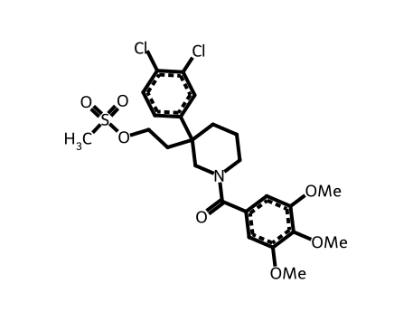 COc1cc(C(=O)N2CCCC(CCOS(C)(=O)=O)(c3ccc(Cl)c(Cl)c3)C2)cc(OC)c1OC